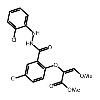 COC=C(Oc1ccc(Cl)cc1C(=O)NNc1ccccc1Cl)C(=O)OC